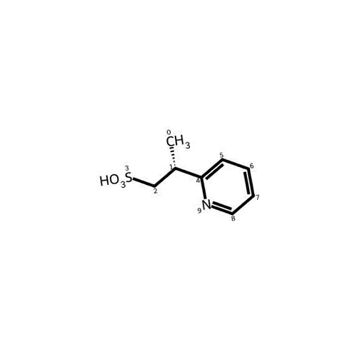 C[C@@H](CS(=O)(=O)O)c1ccccn1